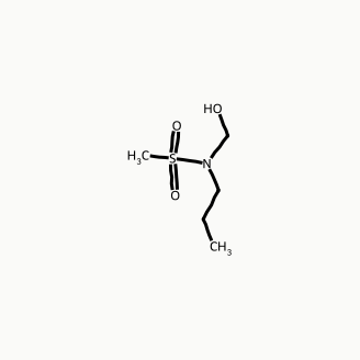 CCCN(CO)S(C)(=O)=O